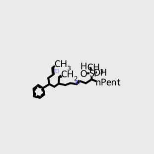 C=CC(CC/C=C/CC(CCCCC)[Si](C)(O)O)CC(C/C=C/C)c1ccccc1